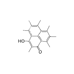 CC1=C(O)c2c(C)c(C)c(C)c3c(C)c(C)c(C)c(c23)C1=O